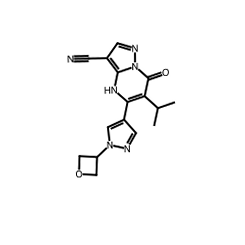 CC(C)c1c(-c2cnn(C3COC3)c2)[nH]c2c(C#N)cnn2c1=O